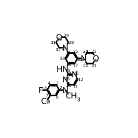 CN(c1ccc(F)c(Cl)c1)c1ccnc(Nc2cc(N3CCOCC3)cc(N3CCOCC3)c2)n1